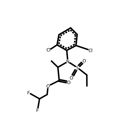 CCS(=O)(=O)N(c1c(Cl)cccc1Cl)C(C)C(=O)OCC(F)F